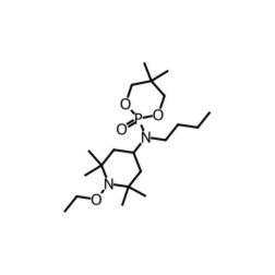 CCCCN(C1CC(C)(C)N(OCC)C(C)(C)C1)P1(=O)OCC(C)(C)CO1